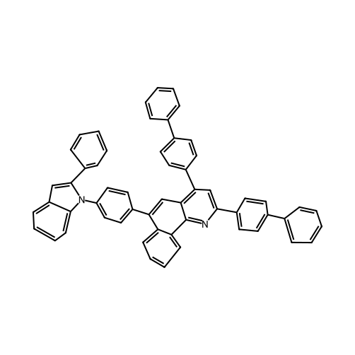 c1ccc(-c2ccc(-c3cc(-c4ccc(-c5ccccc5)cc4)c4cc(-c5ccc(-n6c(-c7ccccc7)cc7ccccc76)cc5)c5ccccc5c4n3)cc2)cc1